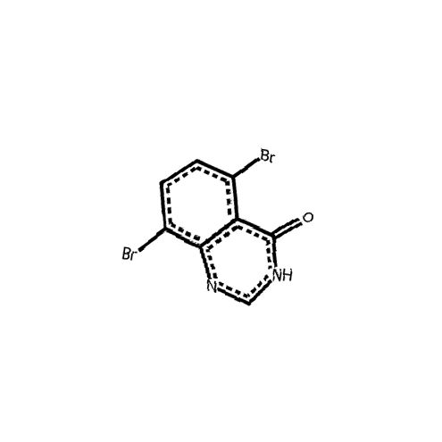 O=c1[nH]cnc2c(Br)ccc(Br)c12